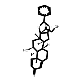 C[C@]12C=CC(=O)C=C1CC[C@@H]1[C@@H]2[C@@H](O)C[C@@]2(C)[C@H]1CC1OC(c3ccccc3)O[C@]12C(=O)CO